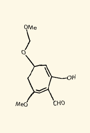 COCOC1C=C(O)C(C=O)=C(OC)C1